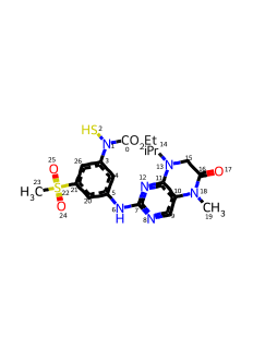 CCOC(=O)N(S)c1cc(Nc2ncc3c(n2)N(C(C)C)CC(=O)N3C)cc(S(C)(=O)=O)c1